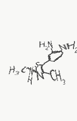 CCNc1nc(C)c(-c2ccc(N)c(N)c2)s1